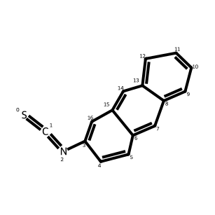 S=C=Nc1ccc2cc3ccccc3cc2c1